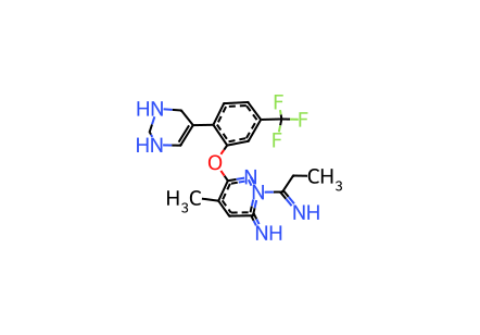 CCC(=N)n1nc(Oc2cc(C(F)(F)F)ccc2C2=CNCNC2)c(C)cc1=N